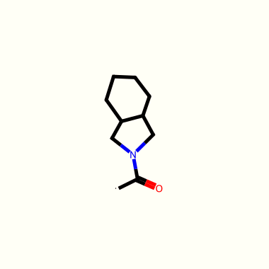 [CH2]C(=O)N1CC2CCCCC2C1